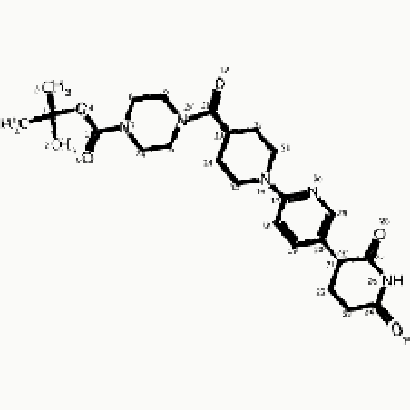 CC(C)(C)OC(=O)N1CCN(C(=O)C2CCN(c3ccc([C@@H]4CCC(=O)NC4=O)cn3)CC2)CC1